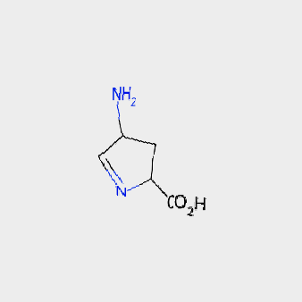 NC1C=NC(C(=O)O)C1